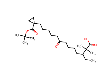 CCC(CCCCC(=O)CCCCCC1(C(=O)OC(C)(C)C)CC1)C(C)(C)C(=O)O